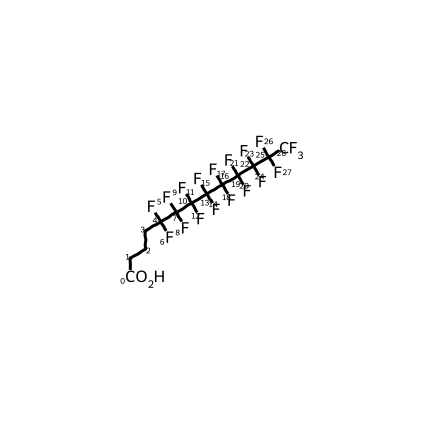 O=C(O)CCCC(F)(F)C(F)(F)C(F)(F)C(F)(F)C(F)(F)C(F)(F)C(F)(F)C(F)(F)C(F)(F)F